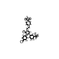 CS(=O)(=O)N1CCN(CCN2C[C@H](c3cccc(C(F)(F)F)c3)N(c3ccc(Cl)cc3)C2=O)CC1